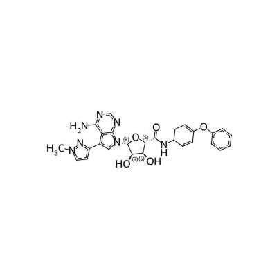 Cn1ccc(-c2cn([C@@H]3O[C@H](C(=O)NC4C=CC(Oc5ccccc5)=CC4)[C@@H](O)[C@H]3O)c3ncnc(N)c23)n1